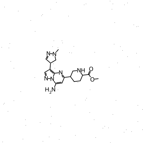 COC(=O)C1CCC(c2cc(N)n3ncc(C4C=NN(C)C4)c3n2)CN1